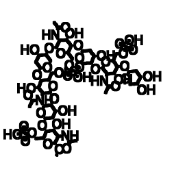 CO[C@H]1OC(COS(=O)(=O)O)[C@@H](O[C@H]2C[C@H](O)[C@@H](O[C@@H]3OC(CO)[C@@H](O[C@H]4C[C@H](O)[C@@H](O[C@@H]5OC(COS(=O)(=O)O)[C@@H](O[C@H]6C[C@H](O)[C@@H](O[C@@H]7OC(COS(=O)(=O)O)[C@@H](O[C@H]8C[C@H](O)[C@H](O)CO8)[C@H](O)C7NC(C)=O)CO6)[C@H](O)C5NC(C)=O)CO4)[C@H](O)C3NC(C)=O)CO2)[C@H](O)C1NC(C)=O